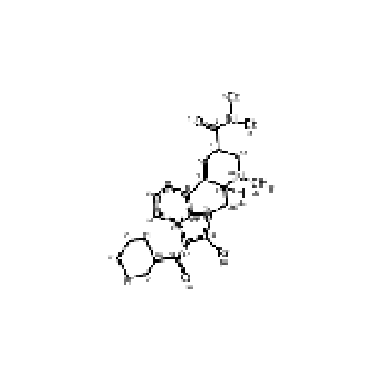 CCN(CC)C(=O)[C@@H]1C=C2c3cccc4c3c(c(Br)n4C(=O)C3CCCCC3)C[C@H]2N(C)C1